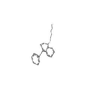 [CH2]CCCCCc1ccc(-c2ccccc2)c2ccccc12